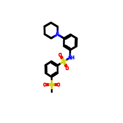 CS(=O)(=O)c1cccc(S(=O)(=O)Nc2cccc(N3CCCCC3)c2)c1